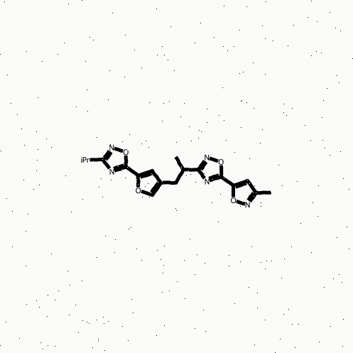 Cc1cc(-c2nc(C(C)Cc3coc(-c4nc(C(C)C)no4)c3)no2)on1